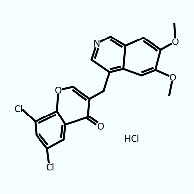 COc1cc2cncc(Cc3coc4c(Cl)cc(Cl)cc4c3=O)c2cc1OC.Cl